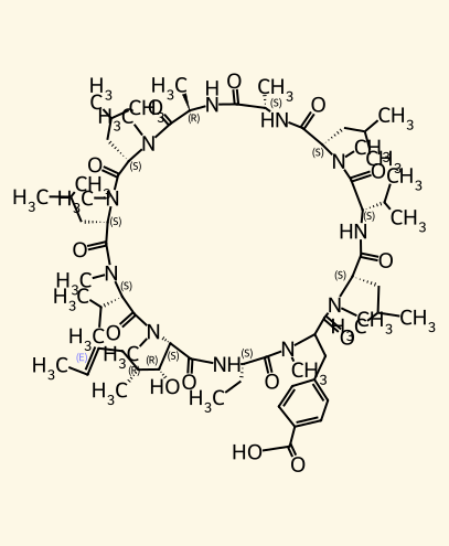 C/C=C/C[C@@H](C)[C@@H](O)[C@H]1C(=O)N[C@@H](CC)C(=O)N(C)C(Cc2ccc(C(=O)O)cc2)C(=O)N(C)[C@@H](CC(C)C)C(=O)N[C@@H](C(C)C)C(=O)N(C)[C@@H](CC(C)C)C(=O)N[C@@H](C)C(=O)N[C@H](C)C(=O)N(C)[C@@H](CC(C)C)C(=O)N(C)[C@@H](CC(C)C)C(=O)N(C)[C@@H](C(C)C)C(=O)N1C